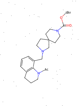 CC(=O)N1CCCc2cccc(CN3CCC4(CCN(C(=O)OC(C)(C)C)CC4)C3)c21